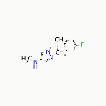 CNc1cnn(CC(C)(C)c2ccc(F)cc2)c1